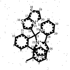 Cc1ccccc1-c1ccccc1C1(c2csc3scc[n+]23)[n+]2ccccc2-c2cccc[n+]21